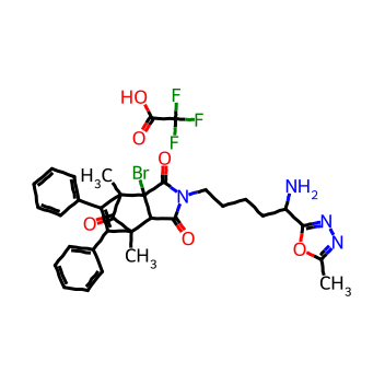 Cc1nnc(C(N)CCCCN2C(=O)C3C4(C)C(=O)C(C)(C(c5ccccc5)=C4c4ccccc4)C3(Br)C2=O)o1.O=C(O)C(F)(F)F